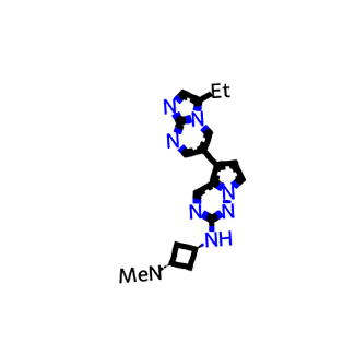 CCc1cnc2ncc(-c3ccn4nc(N[C@H]5C[C@@H](NC)C5)ncc34)cn12